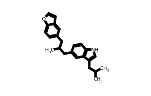 CC(C)Cc1c[nH]c2ccc(CC(C)Cc3ccc4occc4c3)cc12